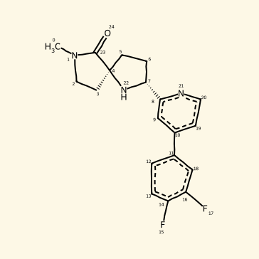 CN1CC[C@@]2(CC[C@H](c3cc(-c4ccc(F)c(F)c4)ccn3)N2)C1=O